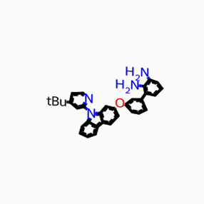 CC(C)(C)c1ccnc(-n2c3ccccc3c3ccc(Oc4cccc(-c5cccc(N)c5N)c4)cc32)c1